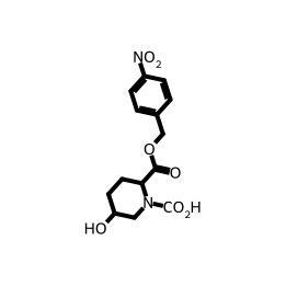 O=C(OCc1ccc([N+](=O)[O-])cc1)C1CCC(O)CN1C(=O)O